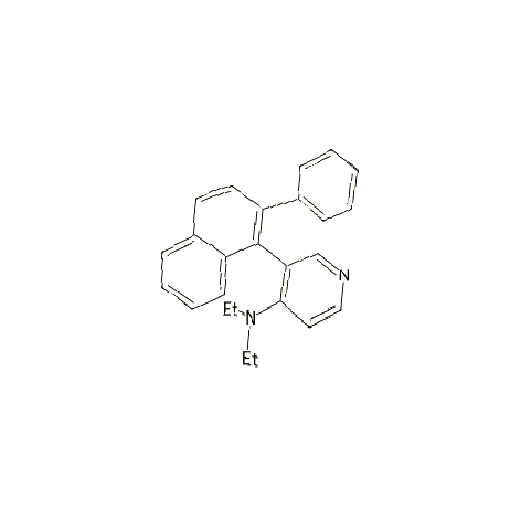 CCN(CC)c1ccncc1-c1c(-c2ccccc2)ccc2ccccc12